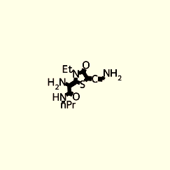 CCCNC(=O)/C(N)=c1\sc(=C=CN)c(=O)n1CC